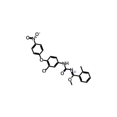 CO/C(=N\C(=O)Nc1ccc(Oc2ccc([N+](=O)[O-])cc2)c(Cl)c1)c1ccccc1C